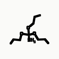 CCCO[I]([SiH3])(OCCC)OCCC